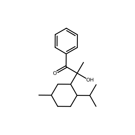 CC1CCC(C(C)C)C(C(C)(O)C(=O)c2ccccc2)C1